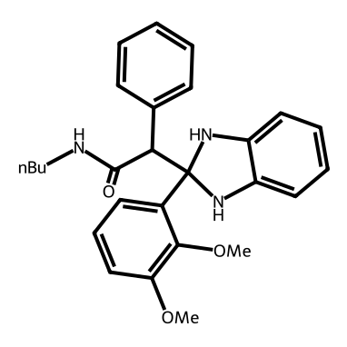 CCCCNC(=O)C(c1ccccc1)C1(c2cccc(OC)c2OC)Nc2ccccc2N1